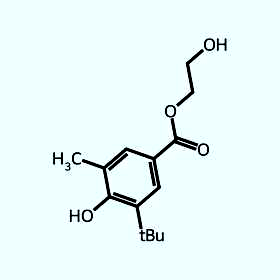 Cc1cc(C(=O)OCCO)cc(C(C)(C)C)c1O